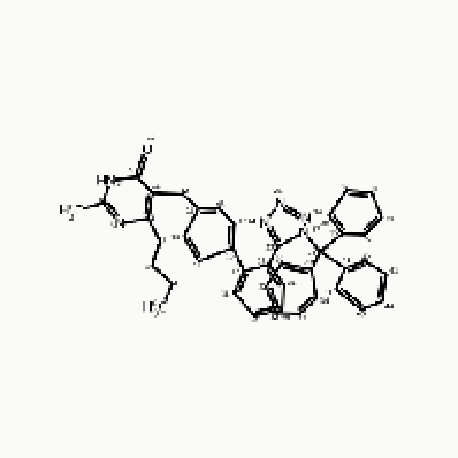 CCCCc1nc(C)[nH]c(=O)c1Cc1ccc(-c2ccccc2-c2nnnn2C(c2ccccc2)(c2ccccc2)c2ccccc2)cc1